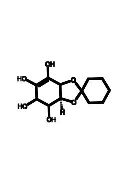 OC1=C(O)C2OC3(CCCCC3)O[C@H]2C(O)C1O